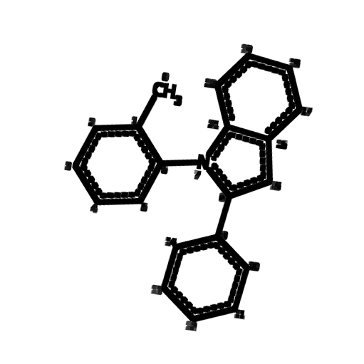 Cc1ccccc1-n1c(-c2ccccc2)cc2ccccc21